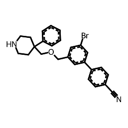 N#Cc1ccc(-c2cc(Br)cc(COCC3(c4ccccc4)CCNCC3)c2)cc1